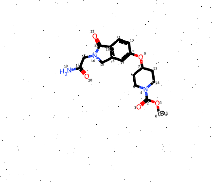 CC(C)(C)OC(=O)N1CCC(Oc2ccc3c(c2)CN(CC(N)=O)C3=O)CC1